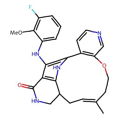 COc1c(F)cccc1Nc1c2[nH]c3c1C(=O)NCC3C/C=C(\C)CCOc1cnccc1-2